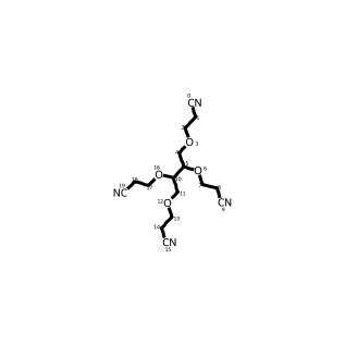 N#CCCOCC(OCCC#N)C(COCCC#N)OCCC#N